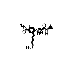 CCNC(=O)c1ccc(-n2cc(C(=O)NC3CC3)nn2)c(CCCCCO)c1